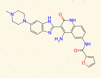 CN1CCN(c2ccc3nc(-c4c(N)c5cc(NC(=O)c6ccco6)ccc5[nH]c4=O)[nH]c3c2)CC1